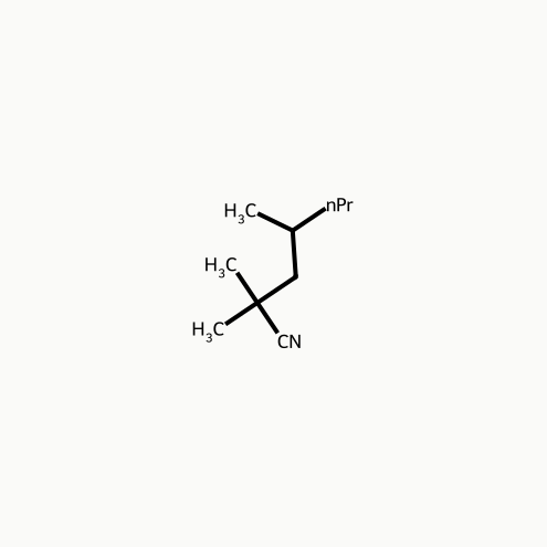 CCCC(C)CC(C)(C)C#N